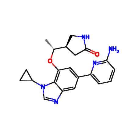 C[C@@H](Oc1cc(-c2cccc(N)n2)cc2ncn(C3CC3)c12)[C@H]1CNC(=O)C1